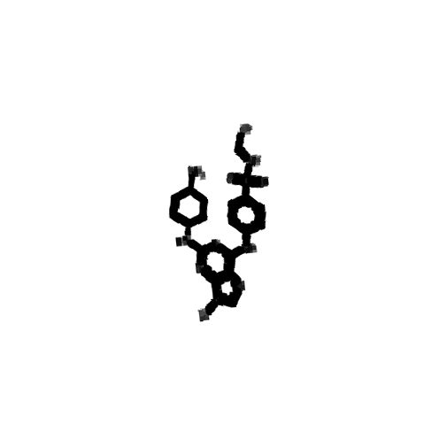 CCn1cnc2c(Nc3ccc(S(=O)(=O)NCC(C)C)cc3)nc(N[C@H]3CC[C@H](N)CC3)nc21